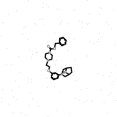 O=C(OCc1ccccc1)N1CCN(CCOc2cccc(N3CC4CCC(C3)N4)c2)CC1